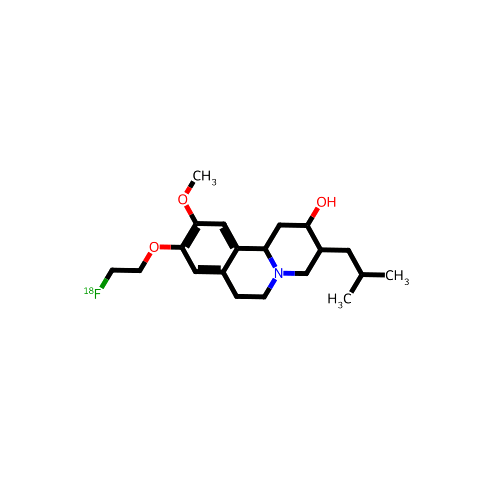 COc1cc2c(cc1OCC[18F])CCN1CC(CC(C)C)C(O)CC21